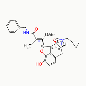 CO/C(=C(/C)C(=O)NCc1ccccc1)[C@@H]1Oc2c(O)ccc3c2[C@@]12CCN(CC1CC1)[C@H](C3)[C@@]2(C)O